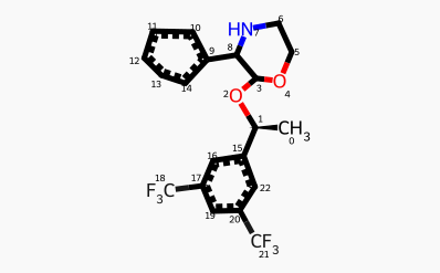 C[C@H](OC1OCCNC1c1ccccc1)c1cc(C(F)(F)F)cc(C(F)(F)F)c1